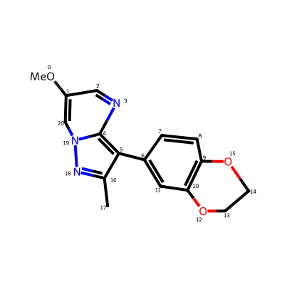 COc1cnc2c(-c3ccc4c(c3)OCCO4)c(C)nn2c1